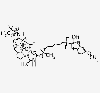 CC[C@@H]1CCN(C(=O)[C@H](C)NC(=O)O[C@]2(C)C[C@H]2CCCCCC(F)(F)c2nc3ccc(OC)cc3nc2O)[C@@H]1C(=O)N[C@]1(C(=O)NS(=O)(=O)C2(C)CC2)C[C@H]1C(F)F